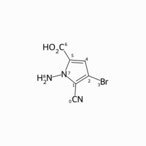 N#Cc1c(Br)cc(C(=O)O)n1N